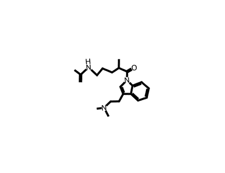 C=C(C)NCCCC(C)C(=O)n1cc(CCN(C)C)c2ccccc21